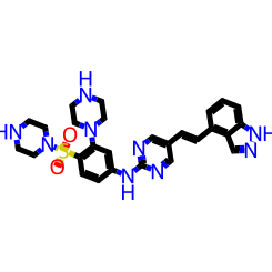 O=S(=O)(c1ccc(Nc2ncc(C=Cc3cccc4[nH]ncc34)cn2)cc1N1CCNCC1)N1CCNCC1